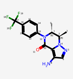 C[C@@H]1[C@@H](C)n2ncc(N)c2C(=O)N1c1ccc(C(F)(F)F)cc1